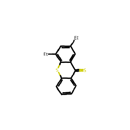 CCc1cc(CC)c2sc3ccccc3c(=S)c2c1